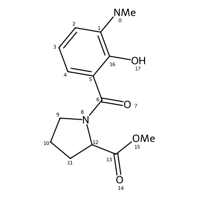 CNc1cccc(C(=O)N2CCCC2C(=O)OC)c1O